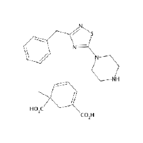 CC1(C(=O)O)C=CC=C(C(=O)O)C1.c1ccc(Cc2nsc(N3CCNCC3)n2)cc1